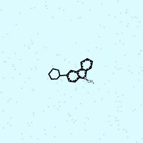 Cn1c2ccccc2c2cc(C3CCCCC3)ccc21